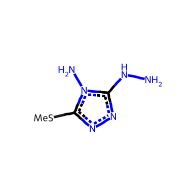 CSc1nnc(NN)n1N